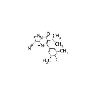 Cc1cc(-c2[nH]c3c(C#N)cnn3c(=O)c2C(C)C)cc(C)c1Cl